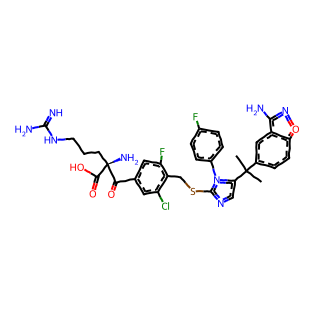 CC(C)(c1ccc2onc(N)c2c1)c1cnc(SCc2c(F)cc(C(=O)[C@@](N)(CCCNC(=N)N)C(=O)O)cc2Cl)n1-c1ccc(F)cc1